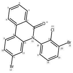 O=c1c2ccccc2c2ccc(Br)cc2n1-c1cccc(Br)c1Cl